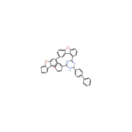 c1ccc(C2=NC(c3cccc4oc5ccc(-c6ccc7c(c6)oc6ccccc67)cc5c34)=NC(c3ccc(-c4ccccc4)cc3)N2)cc1